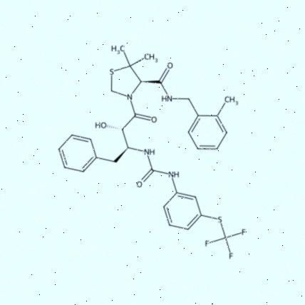 Cc1ccccc1CNC(=O)[C@H]1N(C(=O)[C@@H](O)[C@H](Cc2ccccc2)NC(=O)Nc2cccc(SC(F)(F)F)c2)CSC1(C)C